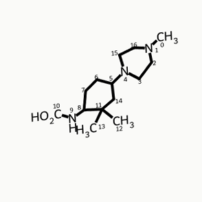 CN1CCN(C2CCC(NC(=O)O)C(C)(C)C2)CC1